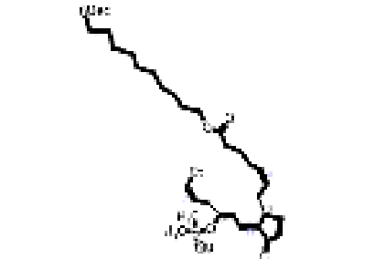 CC/C=C\C[C@@H](C/C=C1/C(=O)C=C[C@@H]1C/C=C\CCCC(=O)OCCCCCCCCCCCCCCCCCCCC)O[Si](C)(C)C(C)(C)C